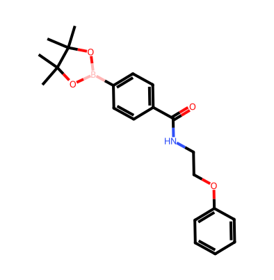 CC1(C)OB(c2ccc(C(=O)NCCOc3ccccc3)cc2)OC1(C)C